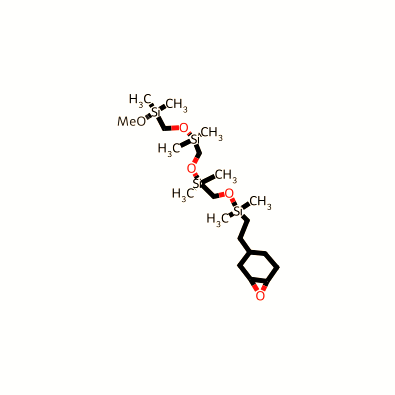 CO[Si](C)(C)CO[Si](C)(C)CO[Si](C)(C)CO[Si](C)(C)CCC1CCC2OC2C1